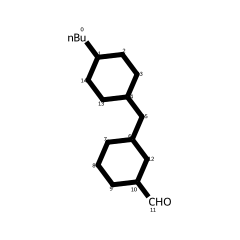 CCCCC1CCC(CC2CCCC(C=O)C2)CC1